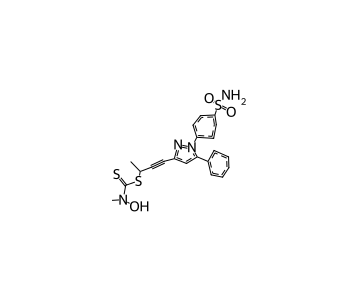 CC(C#Cc1cc(-c2ccccc2)n(-c2ccc(S(N)(=O)=O)cc2)n1)SC(=S)N(C)O